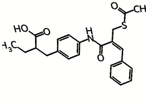 CCC(Cc1ccc(NC(=O)/C(=C\c2ccccc2)CSC(C)=O)cc1)C(=O)O